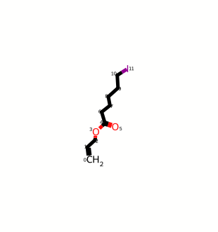 C=CCOC(=O)CCCCCI